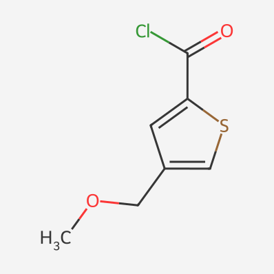 COCc1csc(C(=O)Cl)c1